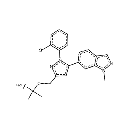 Cn1ncc2ccc(-c3cc(COC(C)(C)C(=O)O)nn3-c3ccccc3Cl)cc21